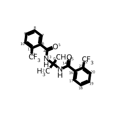 CC(C)(NC(=O)c1ccccc1C(F)(F)F)NC(=O)c1ccccc1C(F)(F)F